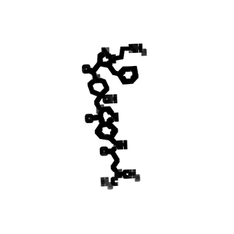 CN(C)CCC(=O)Nc1ccc2c(=O)n(CC3(O)CCN(C(=O)c4cnn(CCN)c4Cc4ccccc4)CC3)cnc2c1